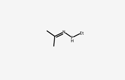 CCPN=C(C)C